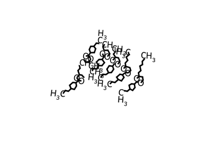 CCCC1CCC(C2OCCC(C)O2)CC1.CCCC1CCC(C2OCCC(CC)O2)CC1.CCCC1CCC(C2OCCC(CCC)O2)CC1.CCCCC1CCOC(C2CCC(CCC)CC2)O1.CCCCCC1CCOC(C2CCC(CCC)CC2)O1.CCCCCCCC1CCOC(C2CCC(CCC)CC2)O1